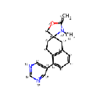 C=C1OC[C@@]2(CCc3c(cccc3-c3cncnc3)C2)N1C